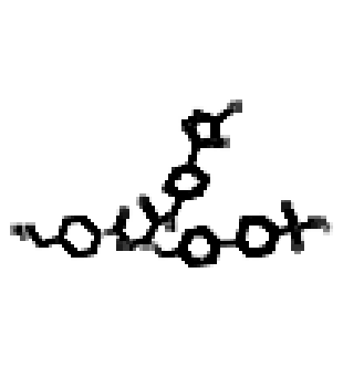 NC[C@H]1CC[C@H](C(=O)N[C@@H](Cc2ccc(-c3ccc(S(N)(=O)=O)cc3)cc2)C(=O)Nc2ccc(-c3nnc(Cl)[nH]3)cc2)CC1